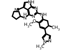 COC1=C(Nc2nc(NC3CCCC3)c3c(C#N)c[nH]c3n2)CC(C)C(c2cnn(C)c2)=C1